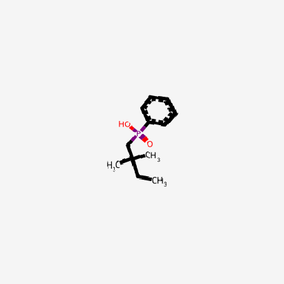 CCC(C)(C)CP(=O)(O)c1ccccc1